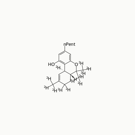 [2H]C([2H])([2H])C1=C[C@@]2([2H])c3c(O)cc(CCCCC)cc3OC(C([2H])([2H])[2H])(C([2H])([2H])[2H])[C@@H]2CC1([2H])[2H]